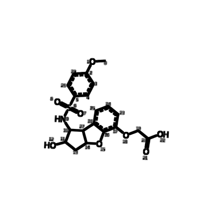 COc1ccc(S(=O)(=O)NC2C(O)CC3Oc4c(OCC(=O)O)cccc4C32)cc1